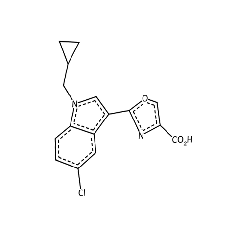 O=C(O)c1coc(-c2cn(CC3CC3)c3ccc(Cl)cc23)n1